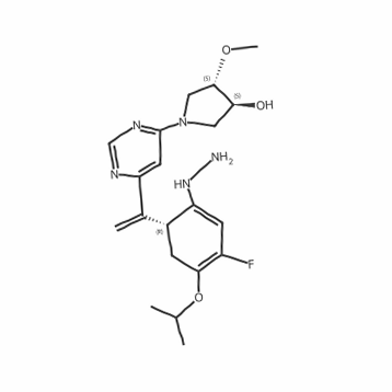 C=C(c1cc(N2C[C@H](OC)[C@@H](O)C2)ncn1)[C@H]1CC(OC(C)C)=C(F)C=C1NN